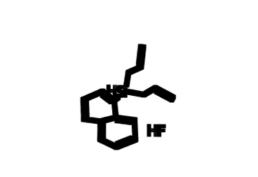 C=CC[SiH](CC=C)c1cccc2ccccc12.F